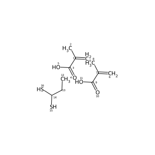 C=C(C)C(=O)O.C=C(C)C(=O)O.CCC(S)S